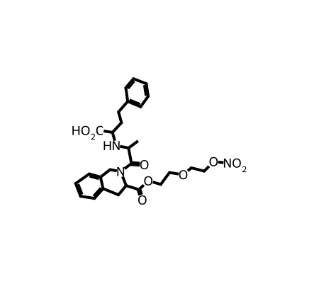 CC(NC(CCc1ccccc1)C(=O)O)C(=O)N1Cc2ccccc2CC1C(=O)OCCOCCO[N+](=O)[O-]